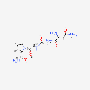 NC(=O)C[C@H](N)C(=O)NCC(=O)NCC(=O)N1CCC[C@H]1C(N)=O